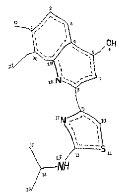 Cc1ccc2c(O)cc(-c3csc(NC(C)C)n3)nc2c1C